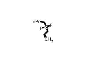 C=CC[Si](F)(F)CCCC